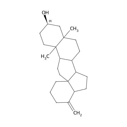 C=C1CCCC23CCC4C(CCC5(C)C[C@H](O)CCC45C)C2CCC13